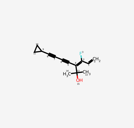 C=C/C(F)=C(/C#CC#CC1CC1)C(C)(C)O